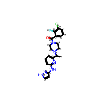 CC(c1cccc(Nc2cc[nH]n2)n1)N1CCN(C(=O)c2cccc(Cl)c2F)CC1